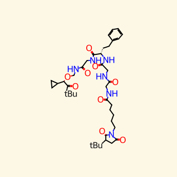 CC(C)(C)C(=O)[C@@H](OCNC(=O)CNC(=O)[C@H](CCc1ccccc1)NC(=O)CNC(=O)CNC(=O)CCCCCN1C(=O)CC(C(C)(C)C)C1=O)C1CC1